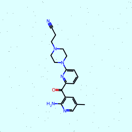 Cc1cnc(N)c(C(=O)c2cccc(N3CCN(CCC#N)CC3)n2)c1